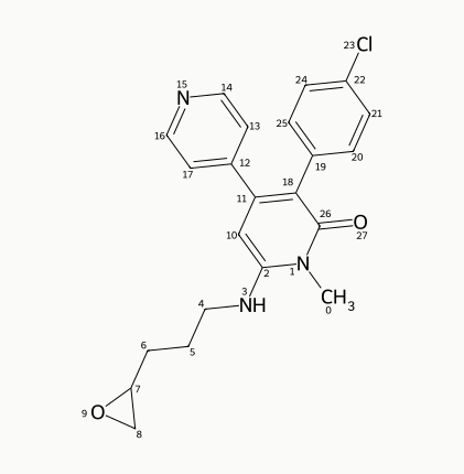 Cn1c(NCCCC2CO2)cc(-c2ccncc2)c(-c2ccc(Cl)cc2)c1=O